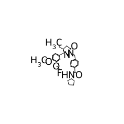 CCC1CC(=O)N(Cc2ccc(C(=O)NC3CCCC3)cc2)N=C1c1ccc(OC)c(OCF)c1